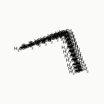 C=C(C)C(=O)O.C=C(C)C(=O)O.C=C(C)C(=O)O.C=C(C)C(=O)O.C=C(C)C(=O)O.C=C(C)C(=O)O.C=C(C)C(=O)O.C=C(C)C(=O)OC.C=C(C)C(=O)OC.C=C(C)C(=O)OC.C=C(C)C(=O)OC.C=C(C)C(=O)OC.C=C(C)C(=O)OC.C=C(C)C(=O)OC.C=CC(=O)OCC.C=CC(=O)OCC.C=CC(=O)OCC.C=CC(=O)OCC.C=CC(=O)OCC